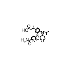 CC(C)CN(c1ccc([C@H](C)CC(=O)O)cc1Nc1ccc(C(N)=O)nc1)C1CCOCC1